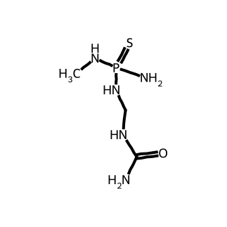 CNP(N)(=S)NCNC(N)=O